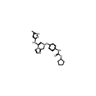 Cc1cc(NC2=CN(Sc3ccc(NC(=O)OC4CCCC4)cc3)CC3=NC=C[N+]23)n[nH]1